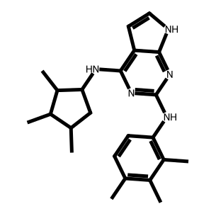 Cc1ccc(Nc2nc(NC3CC(C)C(C)C3C)c3cc[nH]c3n2)c(C)c1C